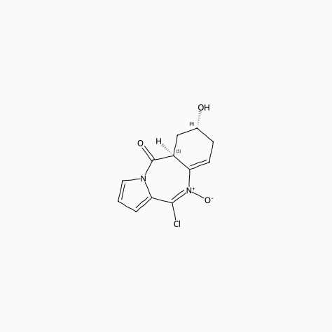 O=C1[C@H]2C[C@H](O)CC=C2[N+]([O-])=C(Cl)c2cccn21